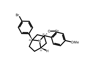 CCO[C@@H]1C[C@@H]2CC[C@](c3ccc(Br)cc3)(C1)N2Cc1ccc(OC)cc1